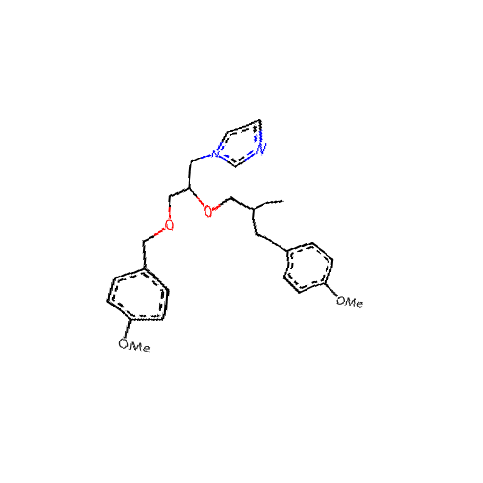 COc1ccc(COCC(Cn2ccnc2)OCC(C)Cc2ccc(OC)cc2)cc1